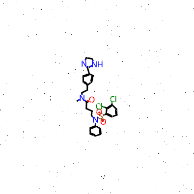 CN(CCc1ccc(C2=NCCN2)cc1)C(=O)CCCN(c1ccccc1)S(=O)(=O)c1cccc(Cl)c1Cl